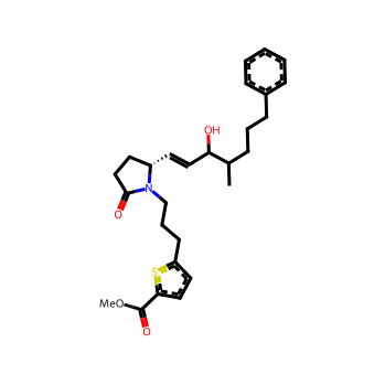 COC(=O)c1ccc(CCCN2C(=O)CC[C@@H]2C=CC(O)C(C)CCCc2ccccc2)s1